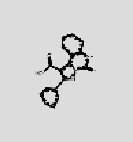 O=C(O)c1c(-c2ccccc2)nn2c(=O)[nH]c3ccccc3c12